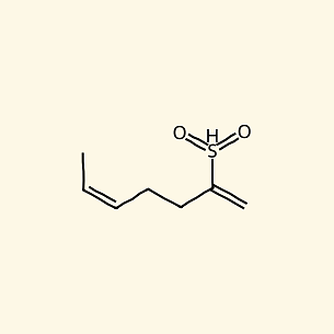 C=C(CC/C=C\C)[SH](=O)=O